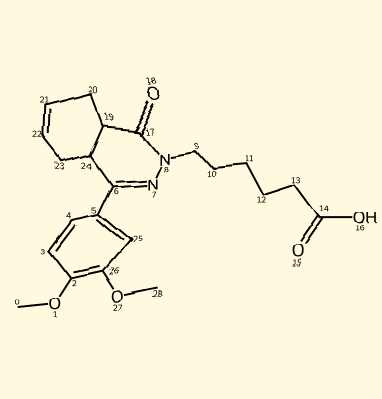 COc1ccc(C2=NN(CCCCCC(=O)O)C(=O)C3CC=CCC23)cc1OC